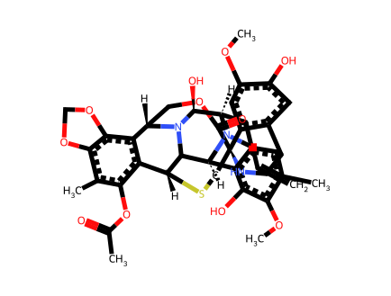 C=CCN1[C@@H]2Cc3cc(C)c(OC)c(O)c3[C@H]1C1[C@@H]3SC[C@]4(NCCc5cc(O)c(OC)cc54)C(=O)OC[C@@H](c4c5c(c(C)c(OC(C)=O)c43)OCO5)N1[C@H]2O